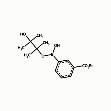 CCOC(=O)c1cccc(B(O)OC(C)(C)C(C)(C)O)c1